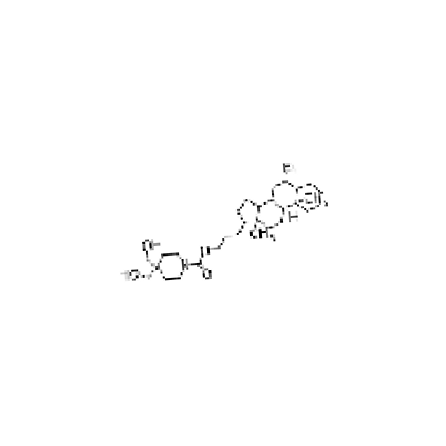 CC[C@H]1CC2C3CCC(CCCOC(=O)N4CCC(CO)(CO)CC4)C3(C)CC[C@@H]2C2(C)CCCCC12